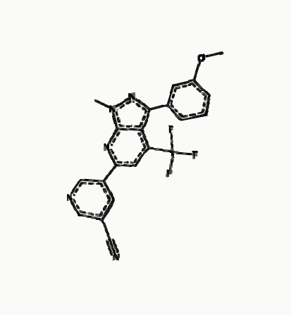 COc1cccc(-c2nn(C)c3nc(-c4cncc(C#N)c4)cc(C(F)(F)F)c23)c1